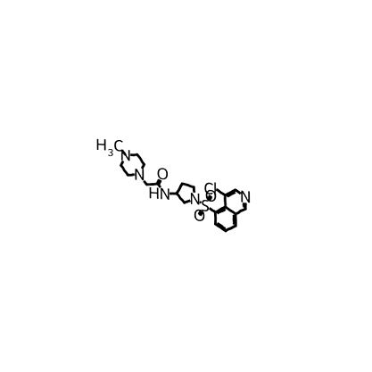 CN1CCN(CC(=O)NC2CCN(S(=O)(=O)c3cccc4cncc(Cl)c34)C2)CC1